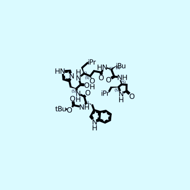 CC[C@H](C)[C@H](NC(=O)C[C@H](O)[C@H](CC(C)C)NC(=O)[C@H](Cc1c[nH]cn1)NC(=O)[C@H](Cc1c[nH]c2ccccc12)NC(=O)OC(C)(C)C)C(=O)N[C@H]1CC(=O)N[C@H]1CC(C)C